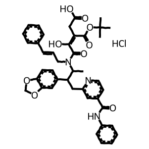 CC(C(Cc1cc(C(=O)Nc2ccccc2)ccn1)c1ccc2c(c1)OCO2)N(C/C=C/c1ccccc1)C(=O)C(O)=C(CC(=O)O)C(=O)OC(C)(C)C.Cl